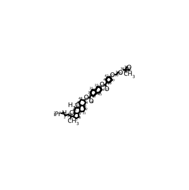 CC(C)CCCC(C)C1CCC2C3CC=C4CC(OC(=O)c5ccc6cc(OC(=O)c7ccc(OCCOCC8(C)COC8)cc7)ccc6c5)CCC4(C)C3CCC12C